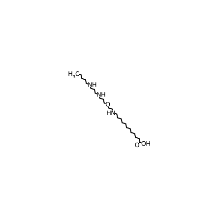 CCCCCNCCCNCCCOCCNCCCCCCCCCCCC(=O)O